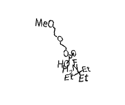 CCC(N)(CC)CC.COCCOCCOP(=O)(O)F